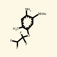 CC(=O)Nc1cc(OC(F)(F)C(F)F)c(C)cc1N